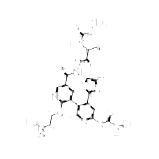 CCNC(=O)Nc1cc(-c2nc(C(F)(F)F)cs2)c(-c2cc(C(=O)NNC(=O)C(NC(=O)OC(C)(C)C)C(C)C)cnc2OCCN(CC)CC)cn1